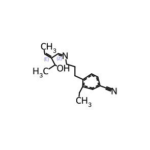 C/C=C(\C=N/CCCc1ccc(C#N)cc1CC)C(C)O